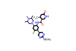 CC(=O)Nc1ncc(-c2cc(NC(=O)c3c[nH]c(=O)cc3C(F)(F)F)c(N3CC(C)N(C)C(C)C3)cc2F)cn1